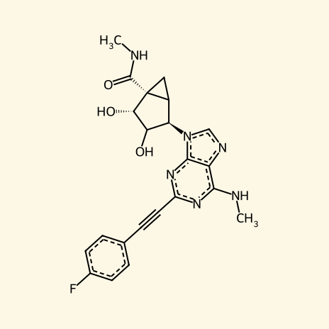 CNC(=O)[C@]12CC1[C@@H](n1cnc3c(NC)nc(C#Cc4ccc(F)cc4)nc31)C(O)[C@@H]2O